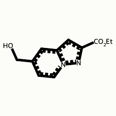 CCOC(=O)c1cc2cc(CO)ccn2n1